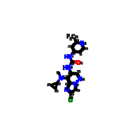 CN(c1c(NC(=O)Nc2ccnc(C(F)(F)F)c2)cnn2cc(Cl)nc12)C1CC1